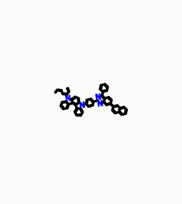 C=C/C(=C\C=C/C)n1c2ccccc2c2c3c4ccccc4n(-c4ccc(-c5nc(-c6ccccc6)c6ccc(-c7ccc8ccccc8c7)cc6n5)cc4)c3ccc21